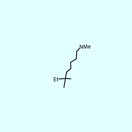 CCC(C)(C)CCCCCNC